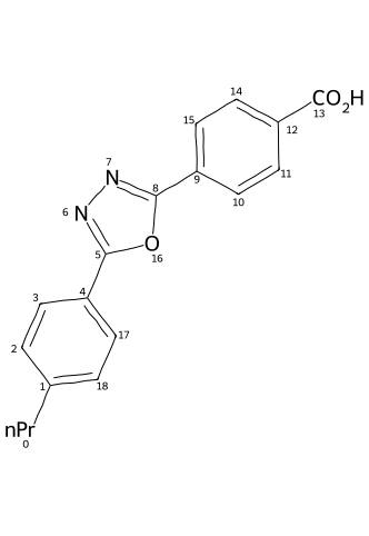 CCCc1ccc(-c2nnc(-c3ccc(C(=O)O)cc3)o2)cc1